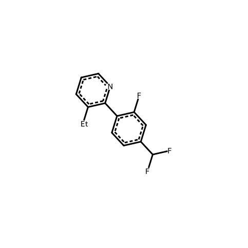 CCc1cccnc1-c1ccc(C(F)F)cc1F